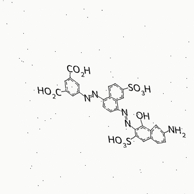 Nc1ccc2cc(S(=O)(=O)O)c(N=Nc3ccc(N=Nc4cc(C(=O)O)cc(C(=O)O)c4)c4ccc(S(=O)(=O)O)cc34)c(O)c2c1